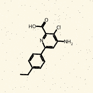 CCc1ccc(-c2cc(N)c(Cl)c(C(=O)O)n2)cc1